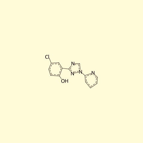 Oc1ccc(Cl)cc1-c1ncn(-c2ccccn2)n1